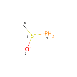 C[S+]([O-])P